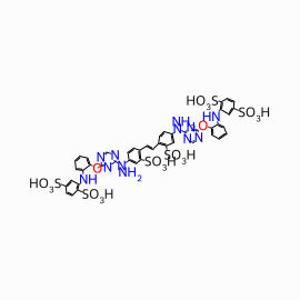 NN(c1ccc(C=Cc2ccc(N(N)c3ncnc(Oc4ccccc4Nc4cc(S(=O)(=O)O)ccc4S(=O)(=O)O)n3)cc2S(=O)(=O)O)c(S(=O)(=O)O)c1)c1ncnc(Oc2ccccc2Nc2cc(S(=O)(=O)O)ccc2S(=O)(=O)O)n1